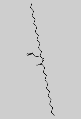 CCCCCCCCCCCCCC(=O)OC(C[C]=O)CCCCCCCCCCCCC